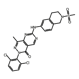 Cc1nn(-c2c(Cl)cccc2Cl)c(=O)c2cnc(Nc3ccc4c(c3)CCN(S(C)(=O)=O)C4)nc12